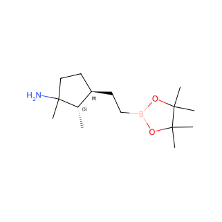 C[C@H]1[C@H](CCB2OC(C)(C)C(C)(C)O2)CCC1(C)N